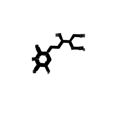 CO[C@H](CO)[C@H](O)CCn1cc(F)c(=O)[nH]c1=O